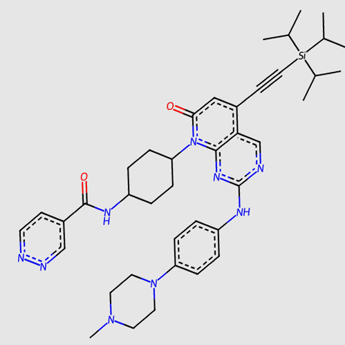 CC(C)[Si](C#Cc1cc(=O)n(C2CCC(NC(=O)c3ccnnc3)CC2)c2nc(Nc3ccc(N4CCN(C)CC4)cc3)ncc12)(C(C)C)C(C)C